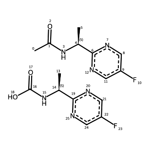 CC(=O)N[C@@H](C)c1ncc(F)cn1.C[C@H](NC(=O)O)c1ncc(F)cn1